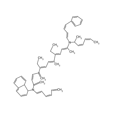 C=C/C=C\C=C\N(C(=C)/C=C\C(=C)/C(=C/C=C(C)/C(=C/C=C(\C)N(/C=C/C=C\c1ccccc1)C(C)/C=C\C=C/C)CC)CC)C1C=CC=C2C=CC=CC21